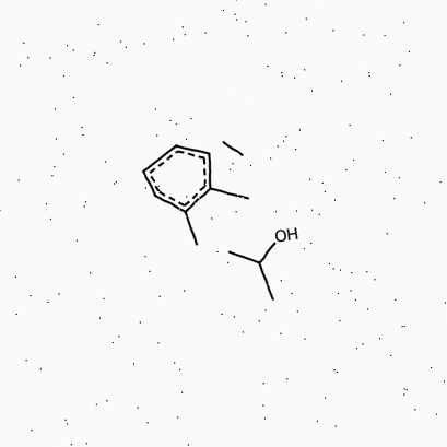 CC.CC(C)O.Cc1ccccc1C